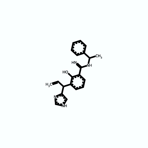 C=CC(c1c[nH]cn1)c1cccc(C(=N)NC(C)c2ccccc2)c1O